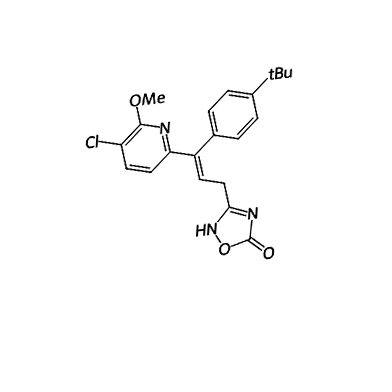 COc1nc(C(=CCc2nc(=O)o[nH]2)c2ccc(C(C)(C)C)cc2)ccc1Cl